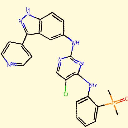 CP(C)(=O)c1ccccc1Nc1nc(Nc2ccc3[nH]nc(-c4ccncc4)c3c2)ncc1Cl